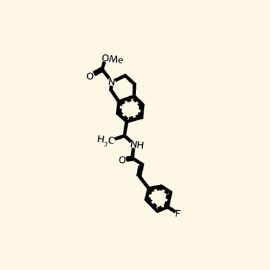 COC(=O)N1CCc2ccc(C(C)NC(=O)C=Cc3ccc(F)cc3)cc2C1